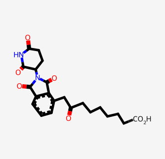 O=C(O)CCCCCCC(=O)Cc1cccc2c1C(=O)N(C1CCC(=O)NC1=O)C2=O